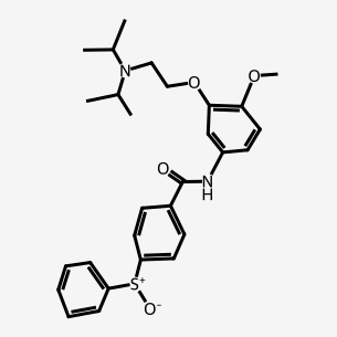 COc1ccc(NC(=O)c2ccc([S+]([O-])c3ccccc3)cc2)cc1OCCN(C(C)C)C(C)C